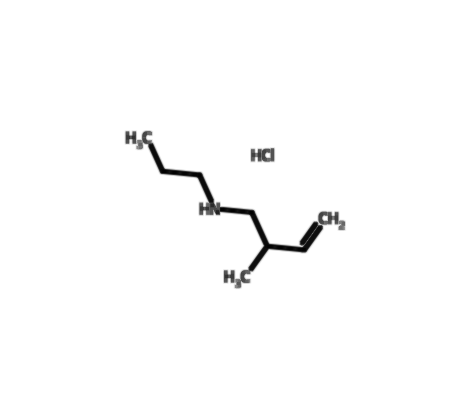 C=CC(C)CNCCC.Cl